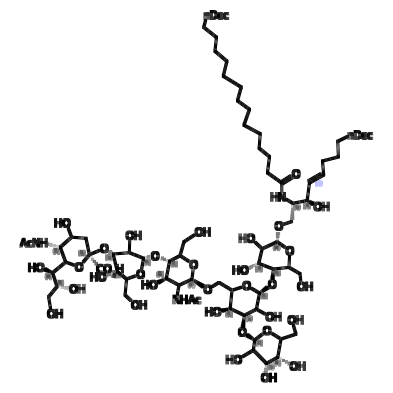 CCCCCCCCCCCCC/C=C/[C@@H](O)[C@H](CO[C@@H]1OC(CO)[C@@H](O[C@@H]2OC(CO[C@@H]3OC(CO)[C@@H](O[C@@H]4OC(CO)[C@H](O)[C@H](O[C@]5(C(=O)O)CC(O)[C@@H](NC(C)=O)C([C@H](O)[C@H](O)CO)O5)C4O)[C@H](O)C3NC(C)=O)[C@H](O)[C@H](O[C@H]3OC(CO)[C@H](O)[C@H](O)C3O)C2O)[C@H](O)C1O)NC(=O)CCCCCCCCCCCCCCCCCCCCCCC